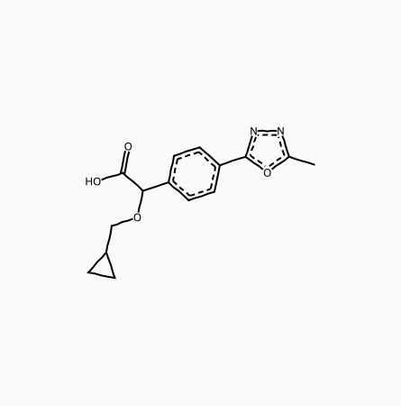 Cc1nnc(-c2ccc(C(OCC3CC3)C(=O)O)cc2)o1